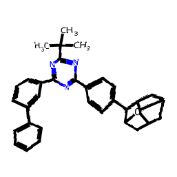 CC(C)(C)c1nc(-c2ccc(C3C4CC5CC(C4)CC3C5)cc2)nc(-c2cccc(-c3ccccc3)c2)n1